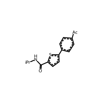 CC(=O)c1ccc(-c2ccc(C(=O)NC(C)C)s2)cc1